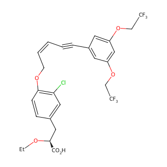 CCO[C@@H](Cc1ccc(OC/C=C\C#Cc2cc(OCC(F)(F)F)cc(OCC(F)(F)F)c2)c(Cl)c1)C(=O)O